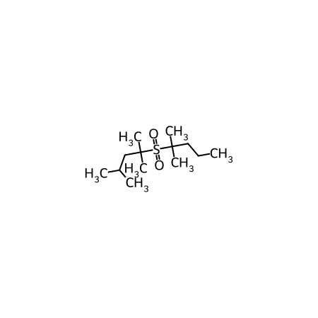 CCCC(C)(C)S(=O)(=O)C(C)(C)CC(C)C